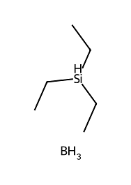 B.CC[SiH](CC)CC